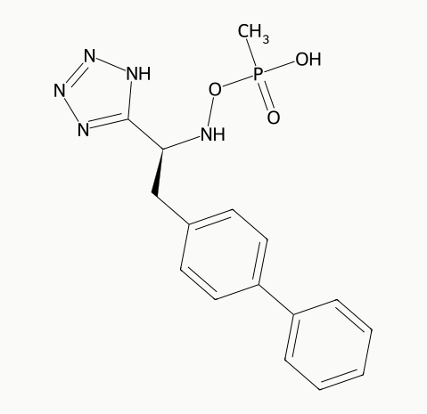 CP(=O)(O)ON[C@@H](Cc1ccc(-c2ccccc2)cc1)c1nnn[nH]1